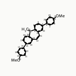 COc1ccc(-c2ccc3c(c2)C=Cc2cc(-c4ccc(OC)cc4)ccc2B3C)cc1